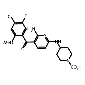 COc1cc(Cl)c(F)cc1C(=O)c1ccc(NC2CCN(C(=O)O)CC2)nc1N